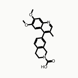 COc1cc2ncc(C)c(-c3ccc4c(c3)CN(C(=O)O)CC4)c2cc1OC